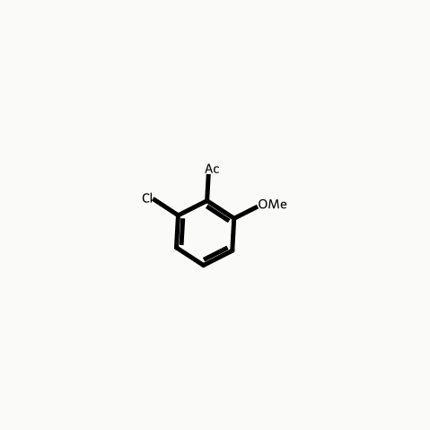 COc1cccc(Cl)c1C(C)=O